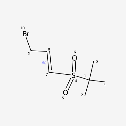 CC(C)(C)S(=O)(=O)/C=C/CBr